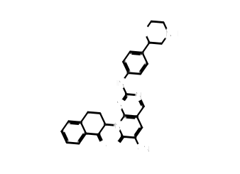 N#Cc1cc2cnc(Nc3ccc(C4CNCCO4)cc3)nc2n(C2CCc3ccccc3C2=O)c1=O